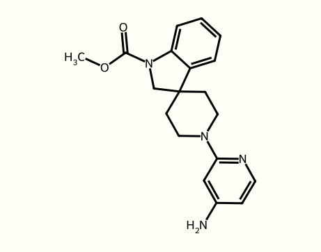 COC(=O)N1CC2(CCN(c3cc(N)ccn3)CC2)c2ccccc21